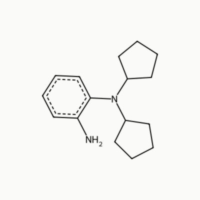 Nc1ccccc1N(C1CCCC1)C1CCCC1